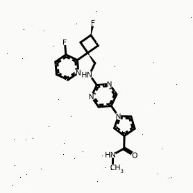 CNC(=O)c1ccn(-c2cnc(NC[C@]3(c4ncccc4F)C[C@H](F)C3)nc2)c1